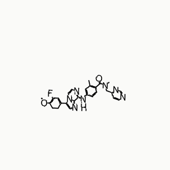 COC1=C(F)C=C(c2cnc3c(Nc4ccc(C(=O)N(C)Cc5ccncn5)c(C)c4)nccn23)CC1